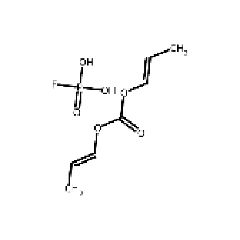 CC=COC(=O)OC=CC.O=P(O)(O)F